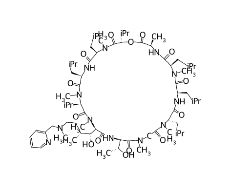 CC(C)C[C@@H]1C(=O)N[C@H](CC(C)C)C(=O)N(C)[C@H](C(C)C)C(=O)N(C)[C@H]([C@H](O)[C@H](C)CCN(C)Cc2ccccn2)C(=O)N[C@H]([C@@H](C)O)C(=O)N(C)CC(=O)N(C)[C@@H](CC(C)C)C(=O)N[C@H](CC(C)C)C(=O)N(C)[C@H](CC(C)C)C(=O)N[C@H](C)C(=O)O[C@@H](C(C)C)C(=O)N1C